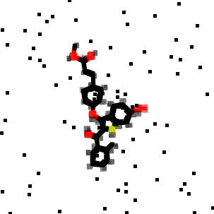 COC(=O)/C=C/c1ccc(Oc2c(C(=O)c3ccccc3C)sc3cc(O)ccc23)cc1